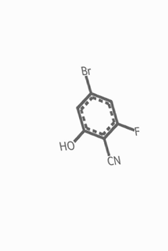 N#Cc1c(O)cc(Br)cc1F